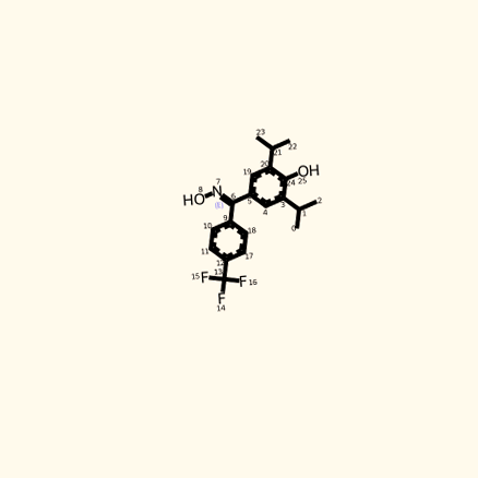 CC(C)c1cc(/C(=N/O)c2ccc(C(F)(F)F)cc2)cc(C(C)C)c1O